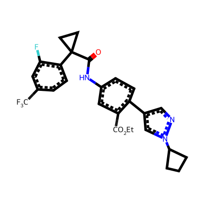 CCOC(=O)c1cc(NC(=O)C2(c3ccc(C(F)(F)F)cc3F)CC2)ccc1-c1cnn(C2CCC2)c1